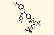 C=CS(=O)(=O)NCC1CC(F)(F)CN1S(=O)(=O)c1ccc(C(Cc2ccc(C(F)(F)F)cc2)C(=O)N2CC(F)(F)C2)cc1